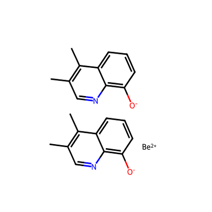 Cc1cnc2c([O-])cccc2c1C.Cc1cnc2c([O-])cccc2c1C.[Be+2]